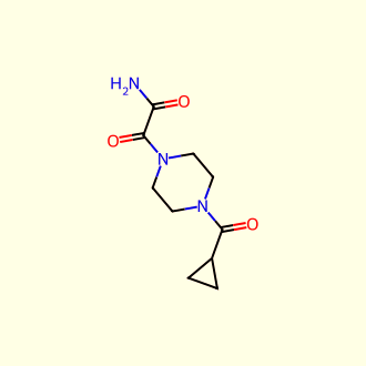 NC(=O)C(=O)N1CCN(C(=O)C2CC2)CC1